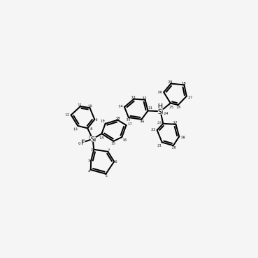 F[Si](c1ccccc1)(c1ccccc1)c1ccccc1.c1ccc([SiH](c2ccccc2)c2ccccc2)cc1